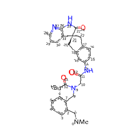 CNCc1ccccc1CN(CC(=O)Nc1ccc2c(c1)C[C@]1(C2)C(=O)Nc2ncccc21)C(=O)C(C)(C)C